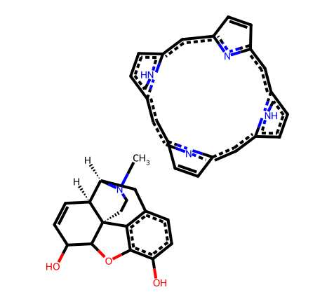 C1=Cc2cc3ccc(cc4nc(cc5ccc(cc1n2)[nH]5)C=C4)[nH]3.CN1CC[C@]23c4c5ccc(O)c4OC2C(O)C=C[C@H]3[C@H]1C5